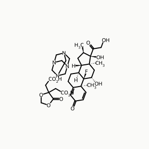 C1N2CN3CN1CN(C2)C3.C[C@@H]1C[C@H]2[C@@H]3CCC4=CC(=O)C=C[C@]4(C)[C@@]3(F)[C@@H](O)C[C@]2(C)[C@@]1(O)C(=O)CO.O=C(O)CC1(CC(=O)O)OCOC1=O